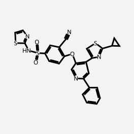 N#Cc1cc(S(=O)(=O)Nc2nccs2)ccc1Oc1cnc(-c2ccccc2)cc1-c1csc(C2CC2)n1